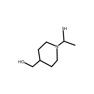 CC(S)N1CCC(CO)CC1